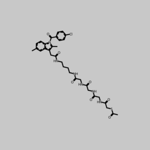 CC(=O)SCC(=O)NCC(=O)NCC(=O)NCC(=O)NCCCCNC(=O)Cc1c(C)n(C(=O)c2ccc(Cl)cc2)c2ccc(C)cc12